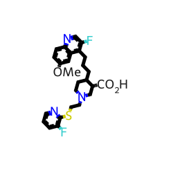 COc1ccc2ncc(F)c(CCCC3CCN(CCSc4ncccc4F)CC3C(=O)O)c2c1